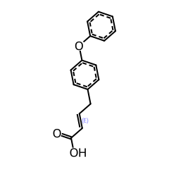 O=C(O)/C=C/Cc1ccc(Oc2ccccc2)cc1